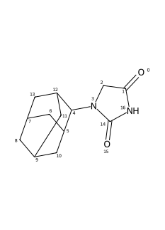 O=C1CN(C2C3CC4CC(C3)CC2C4)C(=O)N1